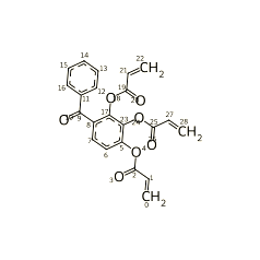 C=CC(=O)Oc1ccc(C(=O)c2ccccc2)c(OC(=O)C=C)c1OC(=O)C=C